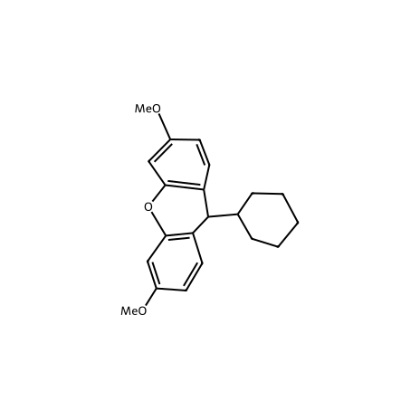 COc1ccc2c(c1)Oc1cc(OC)ccc1C2C1CCCCC1